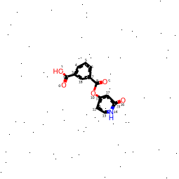 O=C(O)c1cccc(C(=O)Oc2cc[nH]c(=O)c2)c1